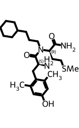 CSCC[C@H](C(N)=O)N(CCCC1CCCCC1)C(=O)[C@@H](N)Cc1c(C)cc(O)cc1C